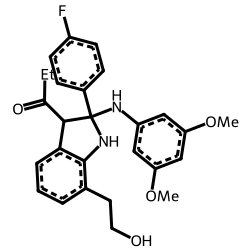 CCC(=O)C1c2cccc(CCO)c2NC1(Nc1cc(OC)cc(OC)c1)c1ccc(F)cc1